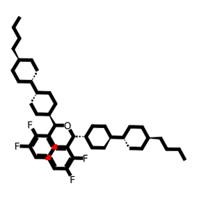 CCCC[C@H]1CC[C@H]([C@H]2CC[C@H](C(OC(c3cccc(F)c3F)[C@H]3CC[C@H]([C@H]4CC[C@H](CCCC)CC4)CC3)c3cccc(F)c3F)CC2)CC1